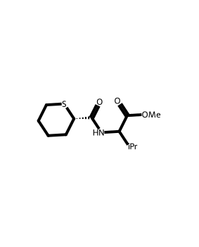 COC(=O)C(NC(=O)[C@@H]1CCCCS1)C(C)C